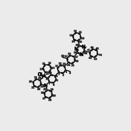 Cc1cc(-c2ccc3c(c2)P(=O)(c2ccccc2)c2ccccc2N3c2ccccc2)ccc1-c1ccc(-c2nc(-c3ccccc3)nc(-c3ccccc3)n2)cc1C